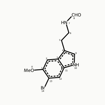 COc1cc2c(CCNC=O)c[nH]c2cc1Br